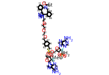 BP(=O)(OC)O[C@H]1[C@@H](F)[C@H](n2cnc3c(N)ncnc32)O[C@@H]1COP(=O)(O[C@@H]1C(C)O[C@@H](n2cnc3c(N)ncnc32)[C@@H]1F)SCc1ccc(COCCOCCOCCn2nnc3c2-c2ccccc2CN(C(=O)CC)c2ccccc2-3)cc1